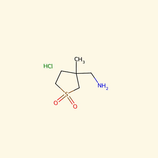 CC1(CN)CCS(=O)(=O)C1.Cl